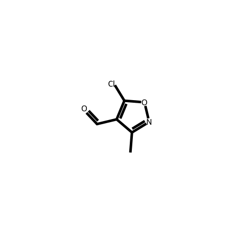 Cc1noc(Cl)c1C=O